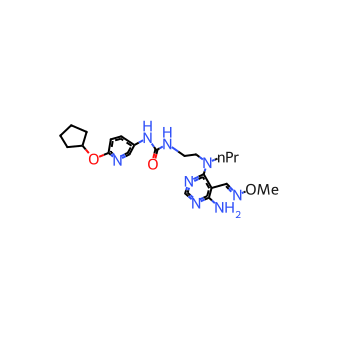 CCCN(CCNC(=O)Nc1ccc(OC2CCCC2)nc1)c1ncnc(N)c1/C=N/OC